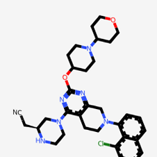 N#CC[C@H]1CN(c2nc(OC3CCN(C4CCOCC4)CC3)nc3c2CCN(c2cccc4cccc(Cl)c24)C3)CCN1